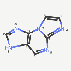 c1cn2c(n1)ncc1[nH]cnc12